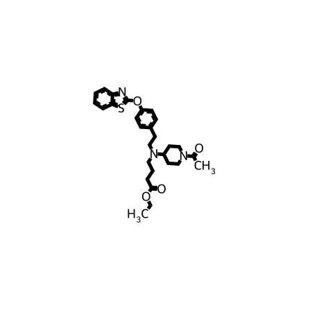 CCOC(=O)CCCN(CCc1ccc(Oc2nc3ccccc3s2)cc1)C1CCN(C(C)=O)CC1